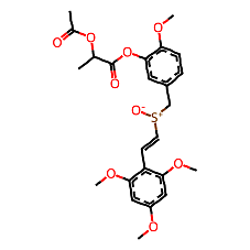 COc1cc(OC)c(/C=C/[S+]([O-])Cc2ccc(OC)c(OC(=O)C(C)OC(C)=O)c2)c(OC)c1